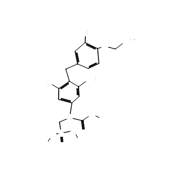 CCOP(=O)(CN(C(=O)OC(C)(C)C)c1cc(C)c(Cc2ccc(OCOC)c(C(C)C)c2)c(C)c1)OCC